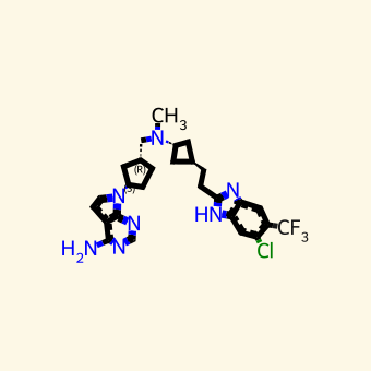 CN(C[C@@H]1CC[C@H](n2ccc3c(N)ncnc32)C1)[C@H]1C[C@H](CCc2nc3cc(C(F)(F)F)c(Cl)cc3[nH]2)C1